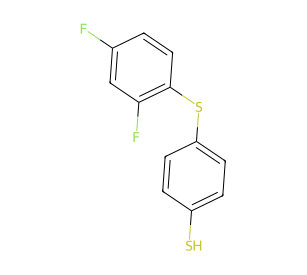 Fc1ccc(Sc2ccc(S)cc2)c(F)c1